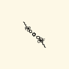 CCCCCC[C@H](F)C(=O)O[C@H]1CC[C@H](c2ccc([C@H]3CC[C@H](OC(=O)[C@@H](F)CCCCCC)CC3)cc2)CC1